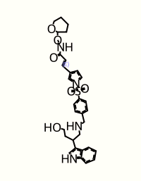 O=C(/C=C/c1ccn(S(=O)(=O)c2ccc(CNCC(CCO)c3c[nH]c4ccccc34)cc2)c1)NOC1CCCCO1